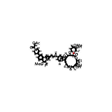 CC[C@H]1OC(=O)[C@H](C)[C@@H](OC2C[C@@](C)(OC)[C@@H](O)[C@H](C)O2)[C@H](C)[C@@H](OC2C[C@@H](N(C)CCc3cn([C@H](CF)[C@H](OC)c4ccc(C5=CCN(C(=O)COC(C)=O)CC5)cc4)nn3)C[C@@H](C)O2)[C@](C)(O)C[C@@H](C)CN(C)[C@H](C)[C@@H](O)[C@]1(C)O